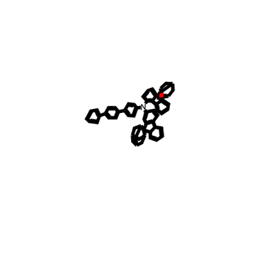 C1=CC2c3ccc(N(c4ccc(-c5ccc(-c6ccccc6)cc5)cc4)c4cccc5c4-c4ccccc4C54C5CC6CC(C5)CC4C6)cc3C3(C4CC5CC(C4)CC3C5)C2C=C1